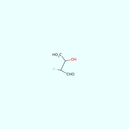 O=CC(F)C(O)C(=O)O